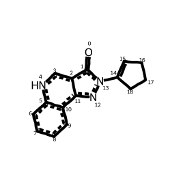 O=c1c2c[nH]c3ccccc3c-2nn1C1=CCCC1